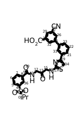 CC(C)S(=O)(=O)c1cccc(C(=O)NCC(=O)CNc2nc(-c3cccc(-c4cc(C#N)cc(C(=O)O)c4)c3)cs2)c1